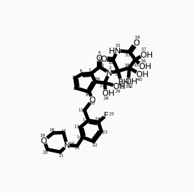 BC1(N2C(=O)c3cccc(OCc4cc(CN5CCOCC5)ccc4F)c3C2(O)O)C(=O)NC(=O)C(O)(O)C1(O)O